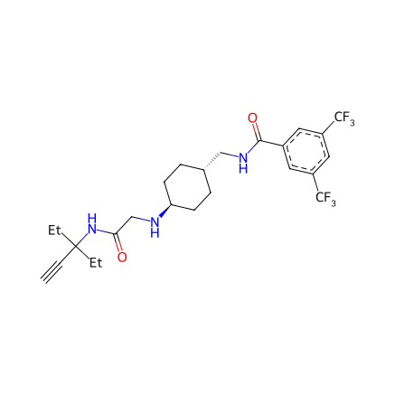 C#CC(CC)(CC)NC(=O)CN[C@H]1CC[C@H](CNC(=O)c2cc(C(F)(F)F)cc(C(F)(F)F)c2)CC1